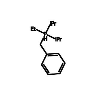 CC[PH](Cc1ccccc1)(C(C)C)C(C)C